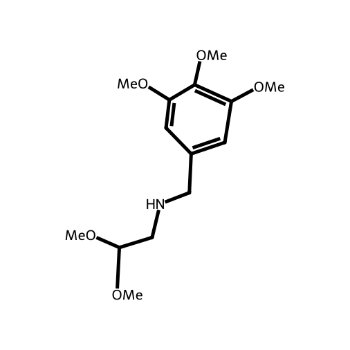 COc1cc(CNCC(OC)OC)cc(OC)c1OC